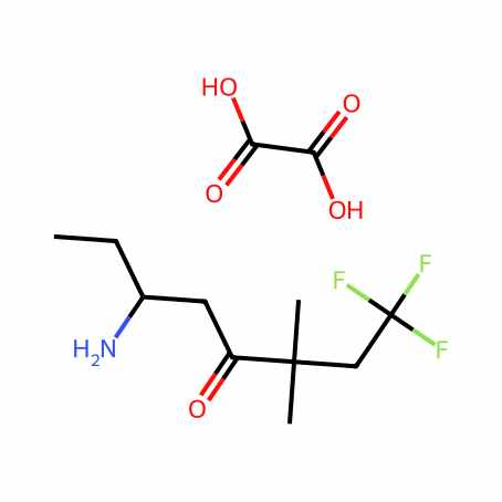 CCC(N)CC(=O)C(C)(C)CC(F)(F)F.O=C(O)C(=O)O